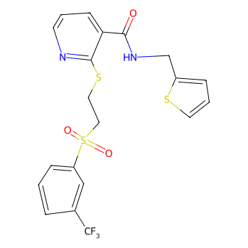 O=C(NCc1cccs1)c1cccnc1SCCS(=O)(=O)c1cccc(C(F)(F)F)c1